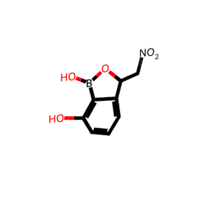 O=[N+]([O-])CC1OB(O)c2c(O)cccc21